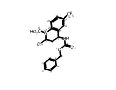 CCC1CC(NC(=O)OCc2ccccc2)c2cc(C(F)(F)F)ccc2N1C(=O)O